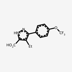 CCc1c(-c2ccc(OC(F)(F)F)cc2)n[nH]c1C(=O)O